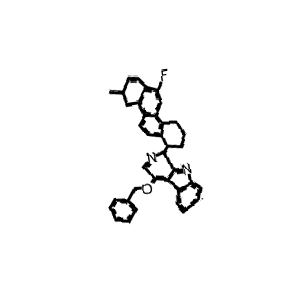 CC1C=Cc2c(F)cc3c4c(ccc3c2C1)C(C1N=CC(OCc2ccccc2)=C2C1=Nc1c[c]ccc12)CCC4